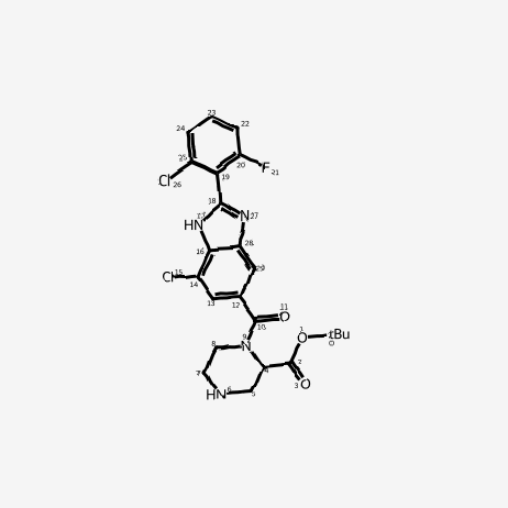 CC(C)(C)OC(=O)C1CNCCN1C(=O)c1cc(Cl)c2[nH]c(-c3c(F)cccc3Cl)nc2c1